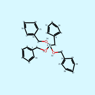 c1ccc(C[O][Ti]([CH2]c2ccccc2)([O]Cc2ccccc2)[O]Cc2ccccc2)cc1